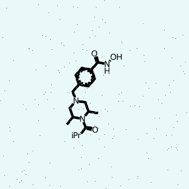 CC(C)C(=O)N1C(C)CN(Cc2ccc(C(=O)NO)cc2)CC1C